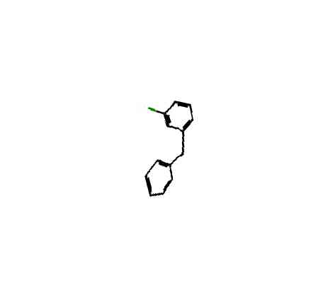 Brc1cccc([CH]c2ccccc2)c1